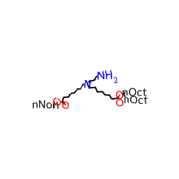 CCCCCCCCCOC(=O)CCCCCCCN(CCCN)CCCCCCCC(=O)OC(CCCCCCCC)CCCCCCCC